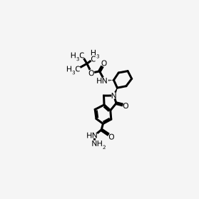 CC(C)(C)OC(=O)N[C@@H]1CCCC[C@H]1N1Cc2ccc(C(=O)NN)cc2C1=O